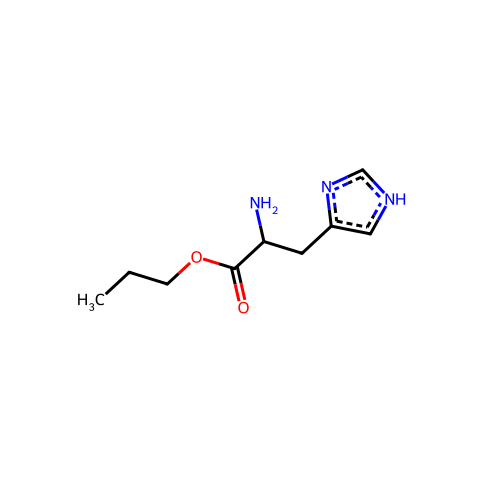 CCCOC(=O)C(N)Cc1c[nH]cn1